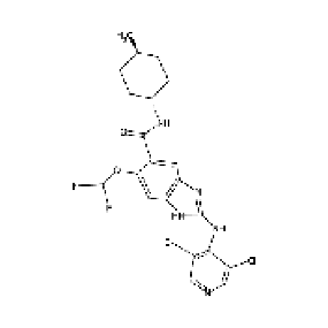 C[C@H]1CC[C@H](NC(=O)c2cc3nc(Nc4c(Cl)cncc4Cl)[nH]c3cc2OC(F)F)CC1